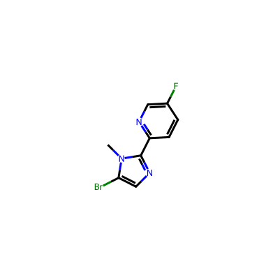 Cn1c(Br)cnc1-c1ccc(F)cn1